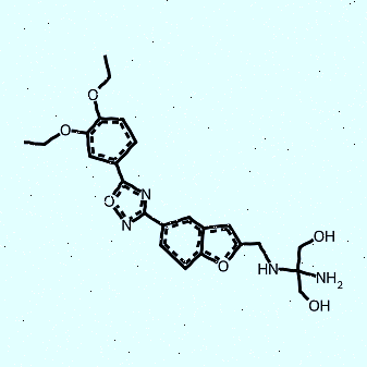 CCOc1ccc(-c2nc(-c3ccc4oc(CNC(N)(CO)CO)cc4c3)no2)cc1OCC